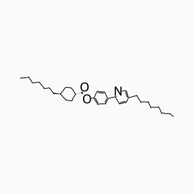 CCCCCCCCc1ccc(-c2ccc(OC(=O)[C@H]3CC[C@H](CCCCCCC)CC3)cc2)nc1